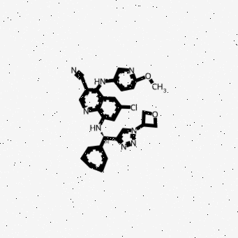 COc1ccc(Nc2c(C#N)cnc3c(N[C@@H](c4ccccc4)c4cn(C5COC5)nn4)cc(Cl)cc23)cn1